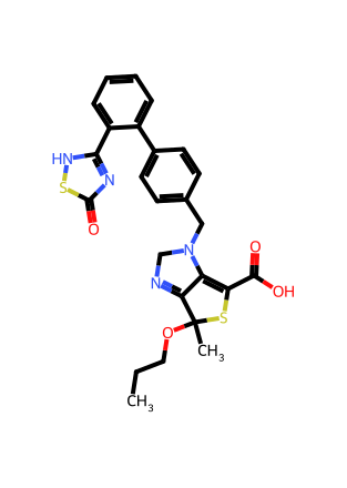 CCCOC1(C)SC(C(=O)O)=C2C1=NCN2Cc1ccc(-c2ccccc2-c2nc(=O)s[nH]2)cc1